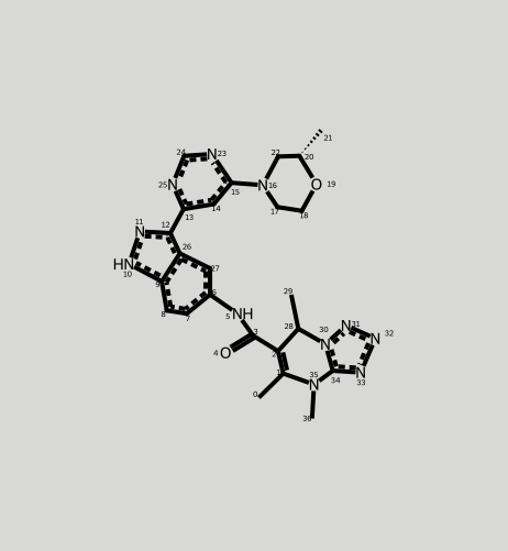 CC1=C(C(=O)Nc2ccc3[nH]nc(-c4cc(N5CCO[C@@H](C)C5)ncn4)c3c2)C(C)n2nnnc2N1C